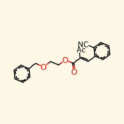 CC(=O)C(=Cc1ccccc1C#N)C(=O)OCCOCc1ccccc1